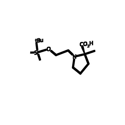 CC(C)(C)[Si](C)(C)OCCN1CCC[C@]1(C)C(=O)O